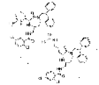 CCC(NC(=N)N)[C@@H]1N[C@H](CNC(=O)c2cc(Cl)ccc2Cl)CCN(CC(c2ccccc2)c2ccccc2)C1=O.N=C(N)NCCC[C@@H]1N[C@H](CNC(=O)c2ccc(Cl)cc2Cl)CCN(CC(c2ccccc2)c2ccccc2)C1=O